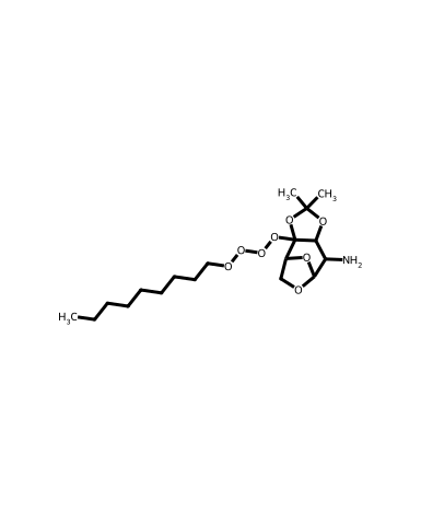 CCCCCCCCCOOOOC12OC(C)(C)OC1C(N)C1OCC2O1